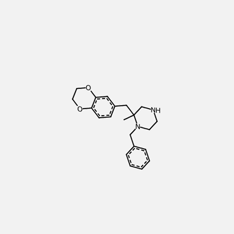 CC1(Cc2ccc3c(c2)OCCO3)CNCCN1Cc1ccccc1